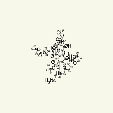 CN(C(=O)OC(C)(C)C)[C@@H]1[C@@H](O)[C@@H](O[C@H]2[C@H](NC(=O)C(O)C3CN(C(=O)OC(C)(C)C)C3)C[C@H](NC(=O)OC(C)(C)C)C([C@H]3OC(CNCCCN)=CC[C@H]3NC(=O)OC(C)(C)C)[C@@H]2O)OC[C@]1(C)O